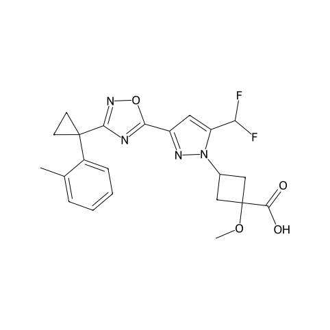 COC1(C(=O)O)CC(n2nc(-c3nc(C4(c5ccccc5C)CC4)no3)cc2C(F)F)C1